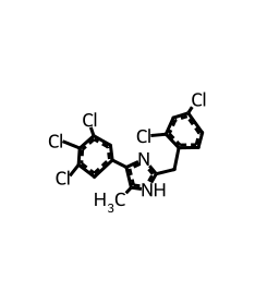 Cc1[nH]c(Cc2ccc(Cl)cc2Cl)nc1-c1cc(Cl)c(Cl)c(Cl)c1